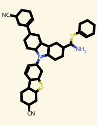 N#CC1CCC=C(C2CCC3C(C2)C2CC(C(N)SC4=CCCCC4)CCC2N3C2C=CC3C(C2)SC2CC(C#N)CCC23)C1